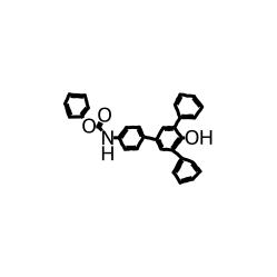 O=C(Nc1ccc(-c2cc(-c3ccccc3)c(O)c(-c3ccccc3)c2)cc1)Oc1ccccc1